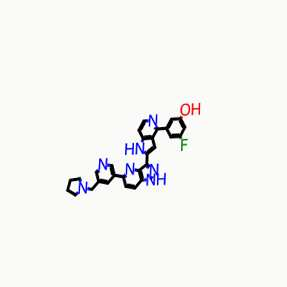 Oc1cc(F)cc(-c2nccc3[nH]c(-c4n[nH]c5ccc(-c6cncc(CN7CCCC7)c6)nc45)cc23)c1